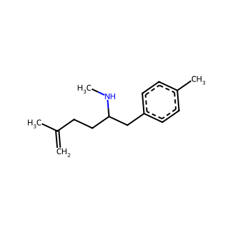 C=C(C)CCC(Cc1ccc(C)cc1)NC